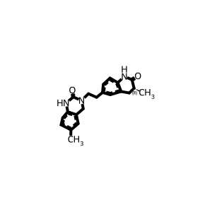 Cc1ccc2c(c1)CN(CCc1ccc3c(c1)C[C@@H](C)C(=O)N3)C(=O)N2